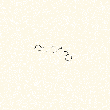 Cc1c(C(=O)N2CCN(C(=O)Oc3cccnc3)CC2)oc2cc(Br)ccc12